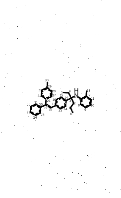 CCCC(CC)(Nc1ccccc1C)c1ccc(C=C(c2ccccc2)c2ccc(C)cc2)cc1